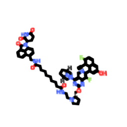 C#Cc1c(F)ccc2cc(O)cc(-c3ncc4c(N5C[C@H]6CC[C@@H](C5)N6)nc(OC[C@@H]5CCCN5CCNC(=O)CCCCCCCCC(=O)NCc5ccc6c7c(cccc57)C(=O)N6C5CCC(=O)NC5=O)nc4c3F)c12